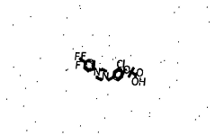 CC(C)(Oc1ccc(CN2CCN(c3ccc(C(F)(F)F)cc3)CC2)cc1Cl)C(=O)O